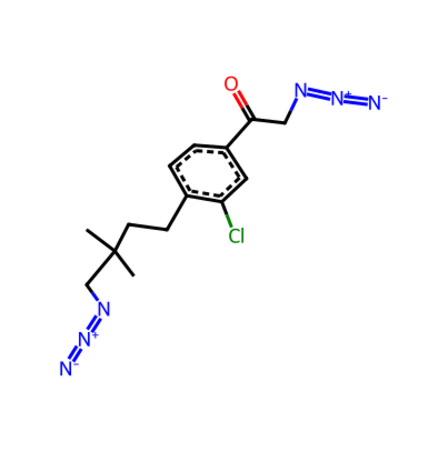 CC(C)(CCc1ccc(C(=O)CN=[N+]=[N-])cc1Cl)CN=[N+]=[N-]